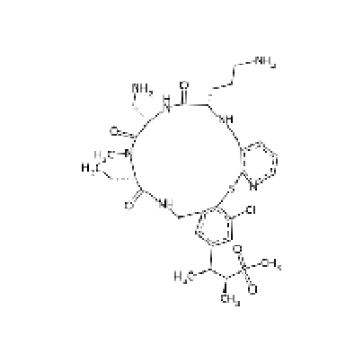 CC[C@H]1C(=O)NCc2cc(C(C)[C@H](C)S(C)(=O)=O)cc(Cl)c2Sc2ncccc2CN[C@@H](CCCN)C(=O)N[C@@H](CN)C(=O)N1C